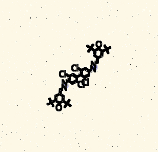 CC(C)(C)C1=CC(=C/N=N/c2cc(Cl)c(-c3cc(Cl)c(/N=N/C=C4C=C(C(C)(C)C)C(=O)C(C(C)(C)C)=C4)cc3Cl)c(Cl)c2)C=C(C(C)(C)C)C1=O